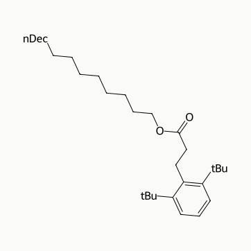 CCCCCCCCCCCCCCCCCCOC(=O)CCc1c(C(C)(C)C)cccc1C(C)(C)C